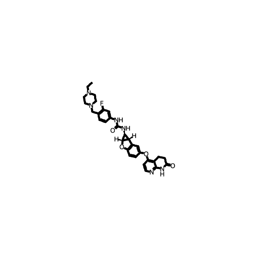 CCN1CCN(Cc2ccc(NC(=O)N[C@@H]3[C@H]4Oc5ccc(Oc6ccnc7c6CCC(=O)N7)cc5[C@@H]34)cc2F)CC1